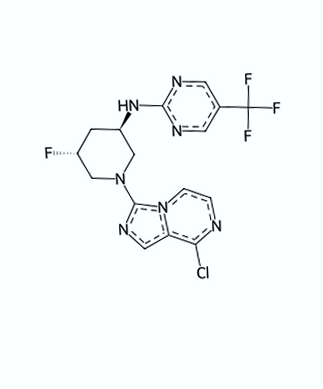 F[C@@H]1C[C@@H](Nc2ncc(C(F)(F)F)cn2)CN(c2ncc3c(Cl)nccn23)C1